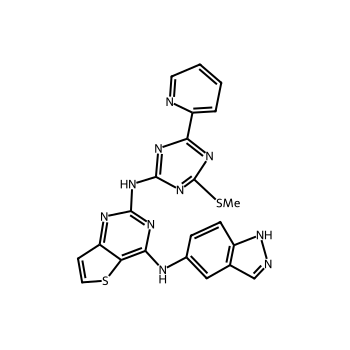 CSc1nc(Nc2nc(Nc3ccc4[nH]ncc4c3)c3sccc3n2)nc(-c2ccccn2)n1